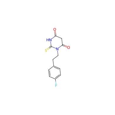 O=C1CC(=O)N(CCc2ccc(F)cc2)C(=S)N1